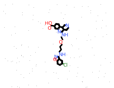 O=C(O)c1ccc2c(c1)nc(NCCOCCCCNc1noc3ccc(Cl)cc13)c1ccncc12